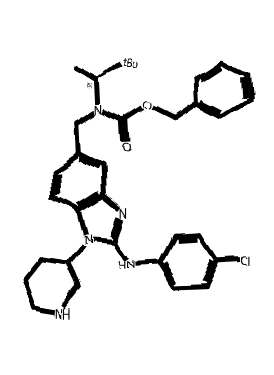 C[C@H](N(Cc1ccc2c(c1)nc(Nc1ccc(Cl)cc1)n2C1CCCNC1)C(=O)OCc1ccccc1)C(C)(C)C